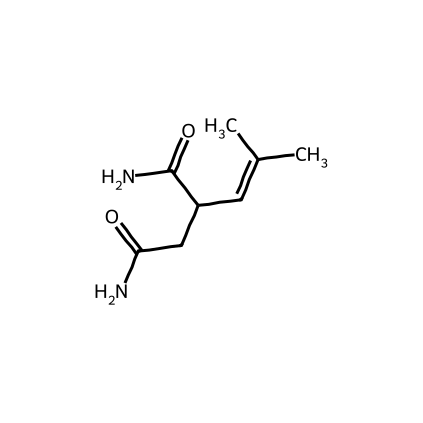 CC(C)=CC(CC(N)=O)C(N)=O